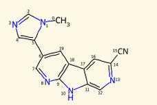 Cn1cncc1-c1cnc2[nH]c3cnc(C#N)cc3c2c1